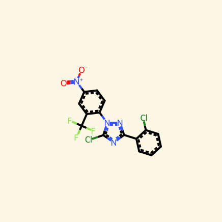 O=[N+]([O-])c1ccc(-n2nc(-c3ccccc3Cl)nc2Cl)c(C(F)(F)F)c1